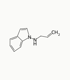 C=CCNn1ccc2ccccc21